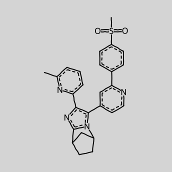 Cc1cccc(-c2nc3n(c2-c2ccnc(-c4ccc(S(C)(=O)=O)cc4)c2)C2CCC3C2)n1